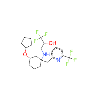 OC(CNC1(Cc2cccc(C(F)(F)F)n2)CCCC(OC2CCCC2)C1)C(F)(F)F